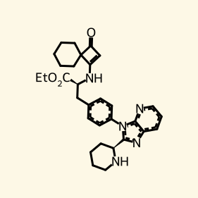 CCOC(=O)[C@H](Cc1ccc(-n2c([C@@H]3CCCCN3)nc3cccnc32)cc1)NC1=CC(=O)C12CCCCC2